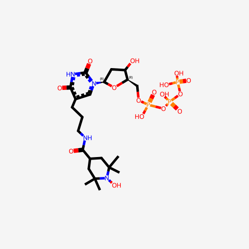 CC1(C)CC(C(=O)NCCCc2cn([C@H]3CC(O)[C@@H](COP(=O)(O)OP(=O)(O)OP(=O)(O)O)O3)c(=O)[nH]c2=O)CC(C)(C)N1O